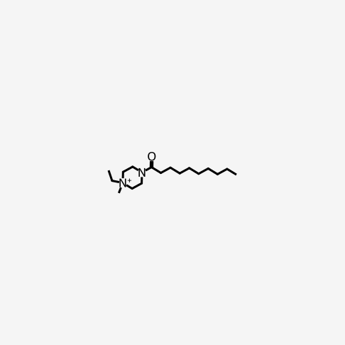 CCCCCCCCCC(=O)N1CC[N+](C)(CC)CC1